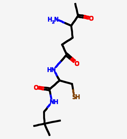 CC(=O)C(N)CCC(=O)NC(CS)C(=O)NCC(C)(C)C